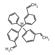 C=Cc1cccc([PH](c2ccccc2)(c2cccc(C=C)c2)c2cccc(C=C)c2)c1